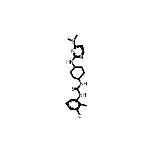 Cc1c(Cl)cccc1NC(=S)NC1CCC(Nc2nccc(N(C)C)n2)CC1